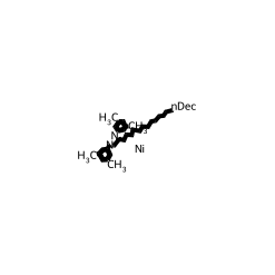 CCCCCCCCCCCCCCCCCCCCCCCC(C=Nc1cc(C)cc(C)c1)=Nc1cc(C)cc(C)c1.[Ni]